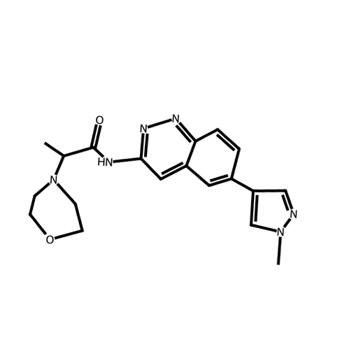 CC(C(=O)Nc1cc2cc(-c3cnn(C)c3)ccc2nn1)N1CCOCC1